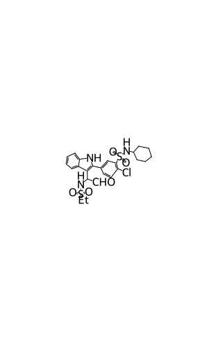 CCS(=O)(=O)NC(C=O)c1c(-c2ccc(Cl)c(S(=O)(=O)NC3CCCCC3)c2)[nH]c2ccccc12